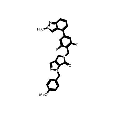 COc1ccc(Cn2ncc3c2C(=O)N(Cc2c(F)cc(-c4cccc5nn(C)cc45)cc2F)C3)cc1